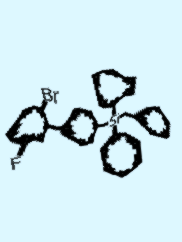 Fc1ccc(Br)c(-c2ccc([Si](c3ccccc3)(c3ccccc3)c3ccccc3)cc2)c1